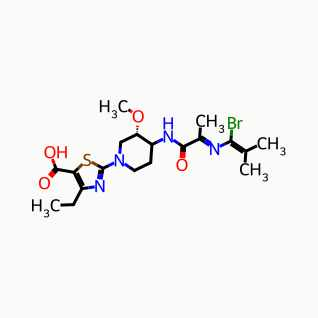 CCc1nc(N2CCC(NC(=O)/C(C)=N/C(Br)=C(C)C)[C@@H](OC)C2)sc1C(=O)O